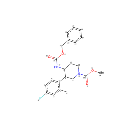 Cc1cc(F)ccc1C1CN(C(=O)OC(C)(C)C)CCC1NC(=O)OCc1ccccc1